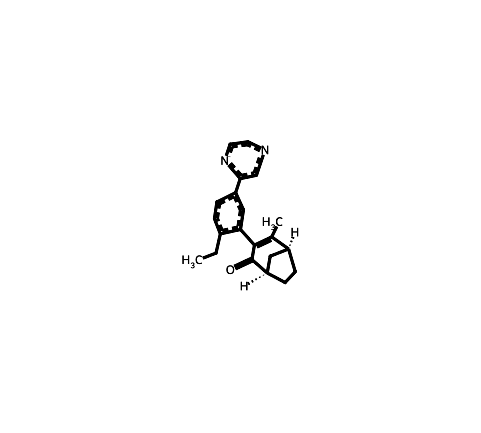 CCc1ccc(-c2cnccn2)cc1C1=C(C)[C@H]2CC[C@H](C2)C1=O